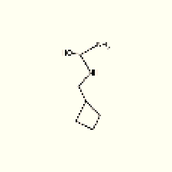 NC(O)NCC1CCC1